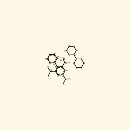 C1CCC(C2CCCCC2)CC1.CC(C)c1cc(C(C)C)c(-c2ccccc2P)c(C(C)C)c1